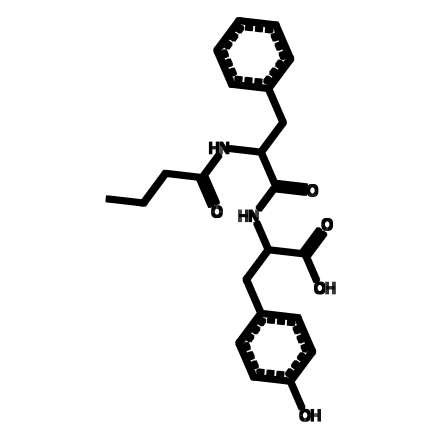 CCCC(=O)NC(Cc1ccccc1)C(=O)NC(Cc1ccc(O)cc1)C(=O)O